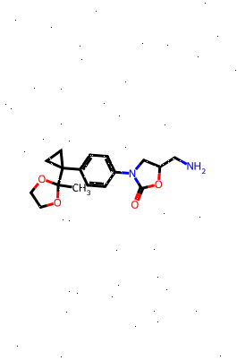 CC1(C2(c3ccc(N4CC(CN)OC4=O)cc3)CC2)OCCO1